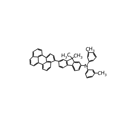 Cc1cccc(N(c2cccc(C)c2)c2ccc3c(c2)C(C)(C)c2cc(-c4ccc5c6cccc7cccc(c8cccc4c85)c76)ccc2-3)c1